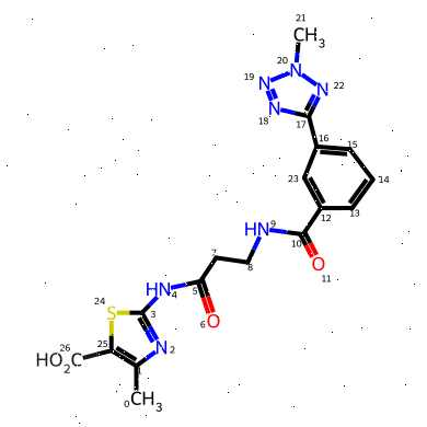 Cc1nc(NC(=O)CCNC(=O)c2cccc(-c3nnn(C)n3)c2)sc1C(=O)O